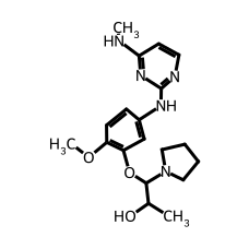 CNc1ccnc(Nc2ccc(OC)c(OC(C(C)O)N3CCCC3)c2)n1